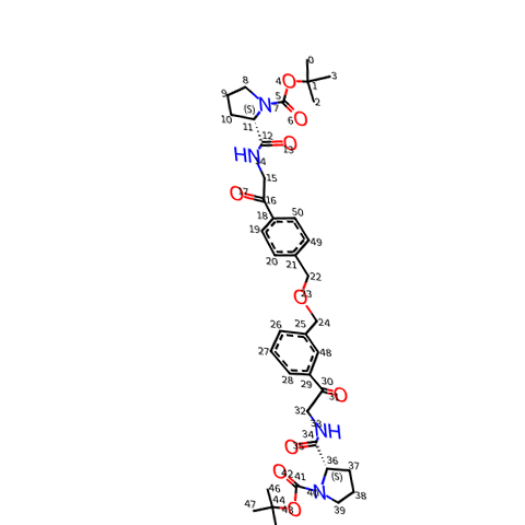 CC(C)(C)OC(=O)N1CCC[C@H]1C(=O)NCC(=O)c1ccc(COCc2cccc(C(=O)CNC(=O)[C@@H]3CCCN3C(=O)OC(C)(C)C)c2)cc1